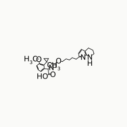 COc1cccc(C(C(=O)O)N2CC(OCCCCCc3ccc4c(n3)NCCC4)C2)c1C1(C)CC1